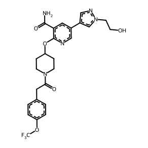 NC(=O)c1cc(-c2cnn(CCO)c2)cnc1OC1CCN(C(=O)Cc2ccc(OC(F)(F)F)cc2)CC1